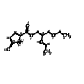 CCOCC(COC(=O)C1CCC(=O)N1)OCC